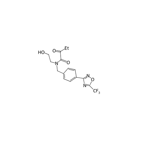 CCC(=O)C(=O)N(CCO)Cc1ccc(-c2noc(C(F)(F)F)n2)cc1